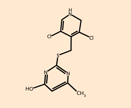 Cc1cc(O)nc(SCC2=C(Cl)CNC=C2Cl)n1